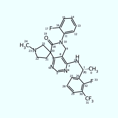 C[C@@H](Nc1ncnc2c1CN(c1ccccc1F)C(=O)C21CCN(C)C1)c1cccc(C(F)(F)F)c1F